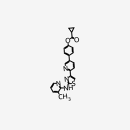 Cc1cccnc1Nc1nc(-c2ccc(-c3ccc(OC(=O)C4CC4)cc3)cn2)cs1